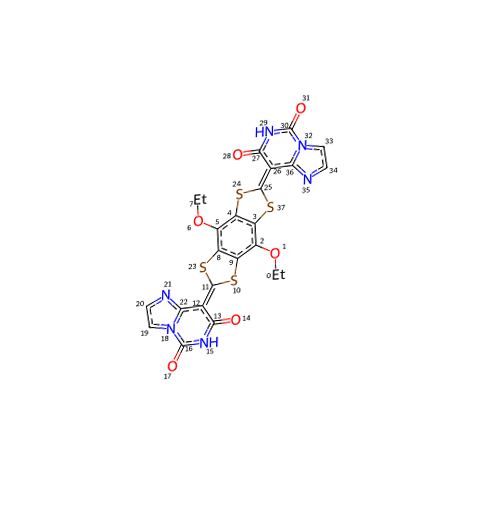 CCOc1c2c(c(OCC)c3c1SC(=c1c(=O)[nH]c(=O)n4ccnc14)S3)SC(=c1c(=O)[nH]c(=O)n3ccnc13)S2